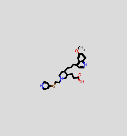 COc1ccc2nccc(CCCC3CCN(CCSc4ccncc4)CC3CCC(=O)O)c2c1